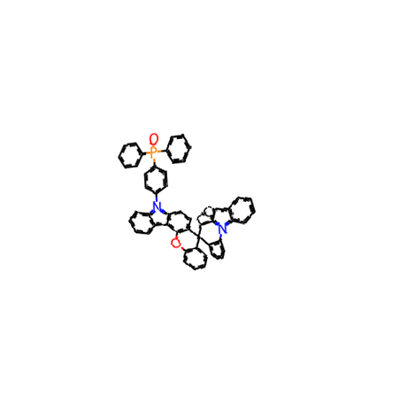 O=P(c1ccccc1)(c1ccccc1)c1ccc(-n2c3ccccc3c3c4c(ccc32)C2(c3ccccc3O4)c3ccccc3-n3c4ccccc4c4cccc2c43)cc1